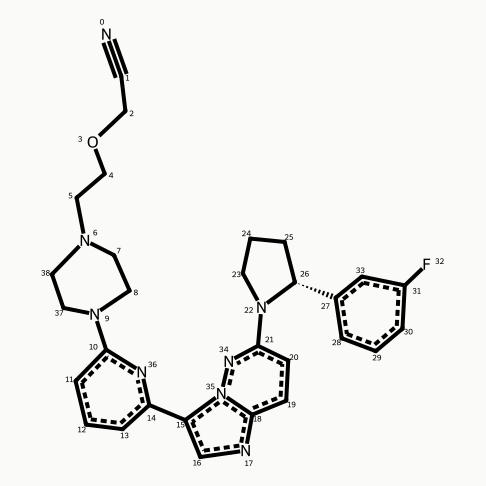 N#CCOCCN1CCN(c2cccc(-c3cnc4ccc(N5CCC[C@@H]5c5cccc(F)c5)nn34)n2)CC1